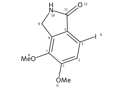 COc1cc(I)c2c(c1OC)CNC2=O